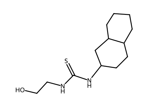 OCCNC(=S)NC1CCC2CCCCC2C1